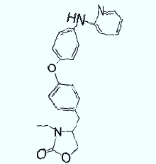 CCN1C(=O)OCC1Cc1ccc(Oc2ccc(Nc3ccccn3)cc2)cc1